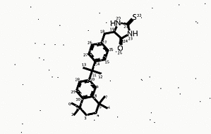 CC1(C)CCC(C)(C)c2cc(C(C)(C)c3ccc(CC4NC(=S)NC4=O)cc3)ccc21